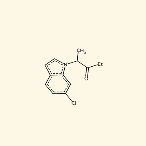 CCC(=O)C(C)n1ccc2ccc(Cl)cc21